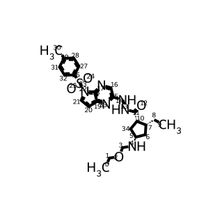 CCOCN[C@H]1C[C@@H](CC)[C@@H](C(=O)NNc2cnc3c(ccn3S(=O)(=O)c3ccc(C)cc3)n2)C1